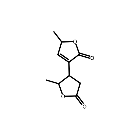 CC1C=C(C2CC(=O)OC2C)C(=O)O1